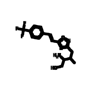 CC(Cc1noc(C=Cc2ccc(C(F)(F)F)cc2)n1)C(N)CO